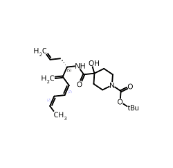 C=CC[C@H](NC(=O)C1(O)CCN(C(=O)OC(C)(C)C)CC1)C(=C)/C=C\C=C/C